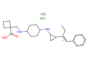 CC/C(=C\c1ccccc1)C1CC1NC1CCC(NCC2(C(=O)O)CCC2)CC1.Cl.Cl